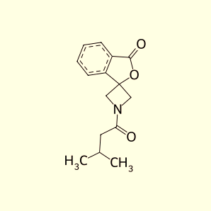 CC(C)CC(=O)N1CC2(C1)OC(=O)c1ccccc12